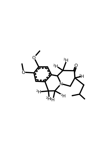 [2H]C1(CC(C)C)CN2C(c3cc(OC)c(OC)cc3C([2H])([2H])C2([2H])[2H])C([2H])([2H])C1=O